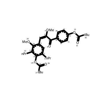 CCCc1cc(C=C(OC)C(=O)c2ccc(OC(=O)C(C)(C)C)cc2)c(OC)c(CCC)c1OC(=O)C(C)(C)C